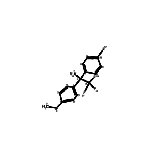 COc1ccc(C(N)(c2ccc(F)cc2)C(F)(F)F)cc1